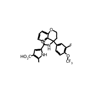 Cc1[nH]c(C(=O)NC2(c3ccc(OC(F)(F)F)c(F)c3)CCOc3cccnc32)cc1C(=O)O